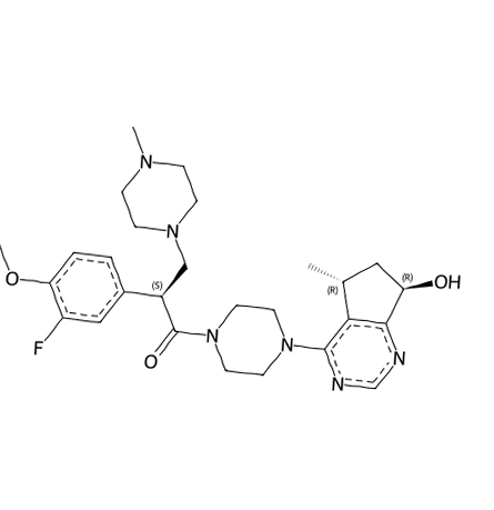 COc1ccc([C@@H](CN2CCN(C)CC2)C(=O)N2CCN(c3ncnc4c3[C@H](C)C[C@H]4O)CC2)cc1F